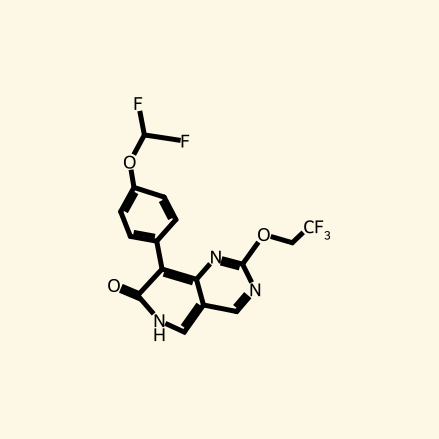 O=c1[nH]cc2cnc(OCC(F)(F)F)nc2c1-c1ccc(OC(F)F)cc1